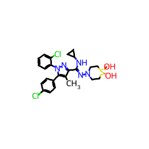 Cc1c(C(=NN2CCS(O)(O)CC2)NC2CC2)nn(-c2ccccc2Cl)c1-c1ccc(Cl)cc1